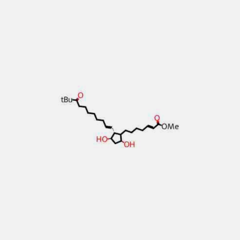 COC(=O)C=CCCCCC1[C@@H](/C=C/CCCCCCC(=O)C(C)(C)C)[C@H](O)C[C@@H]1O